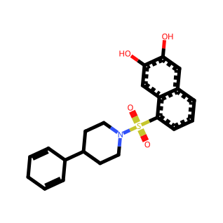 O=S(=O)(c1cccc2cc(O)c(O)cc12)N1CCC(C2C=CCC=C2)CC1